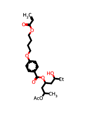 C=CC(=O)OCCCCOc1ccc(C(=O)OC(CC(O)CC)CC(C)OC(C)=O)cc1